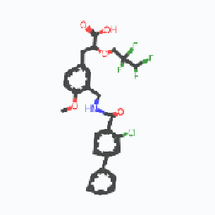 COc1ccc(CC(OCC(F)(F)C(F)F)C(=O)O)cc1CNC(=O)c1ccc(-c2ccccc2)cc1Cl